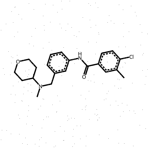 Cc1cc(C(=O)Nc2cccc(CN(C)C3CCOCC3)c2)ccc1Cl